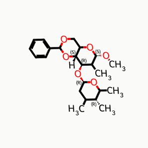 CO[C@H]1OC2COC(c3ccccc3)O[C@H]2[C@H](O[C@@H]2CC(C)[C@@H](C)C(C)O2)C1C